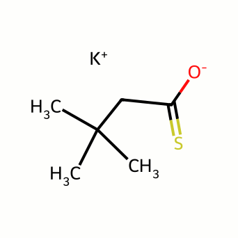 CC(C)(C)CC([O-])=S.[K+]